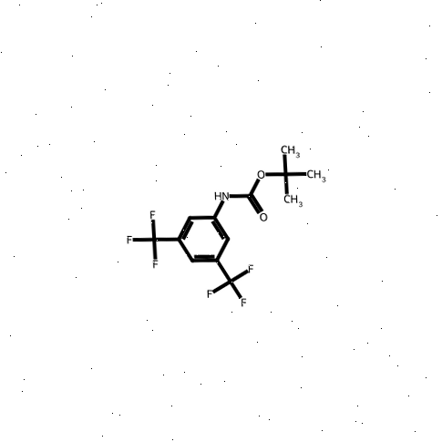 CC(C)(C)OC(=O)Nc1cc(C(F)(F)F)cc(C(F)(F)F)c1